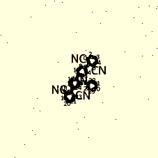 N#Cc1cccc(C#N)c1-c1ccc2c3ccc(-c4c(C#N)cccc4C#N)cc3n(-c3ccccc3)c2c1